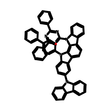 c1ccc(-c2ccc(-n3c4ccc(-n5c6ccccc6c6ccccc65)cc4c4ccc5c6ccccc6n(-c6nc(-c7ccccc7)nc(-c7ccccc7)n6)c5c43)cc2)cc1